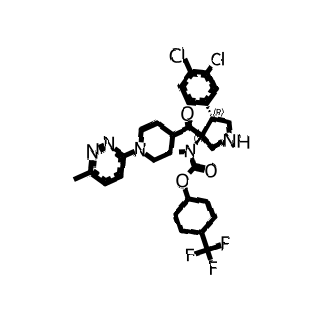 Cc1ccc(N2CCC(C(=O)[C@@]3(N(C)C(=O)OC4CCC(C(F)(F)F)CC4)CNC[C@H]3c3ccc(Cl)c(Cl)c3)CC2)nn1